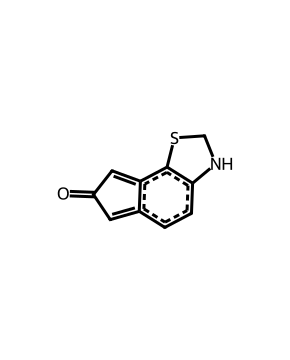 O=C1C=c2ccc3c(c2=C1)SCN3